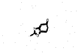 [CH2]c1nc2c(o1)=CCC(=O)C=2